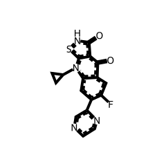 O=c1[nH]sc2c1c(=O)c1cc(F)c(-c3cnccn3)cc1n2C1CC1